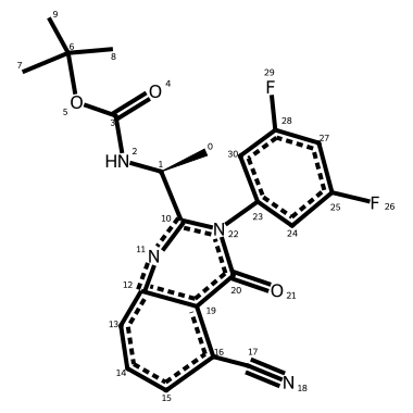 C[C@H](NC(=O)OC(C)(C)C)c1nc2cccc(C#N)c2c(=O)n1-c1cc(F)cc(F)c1